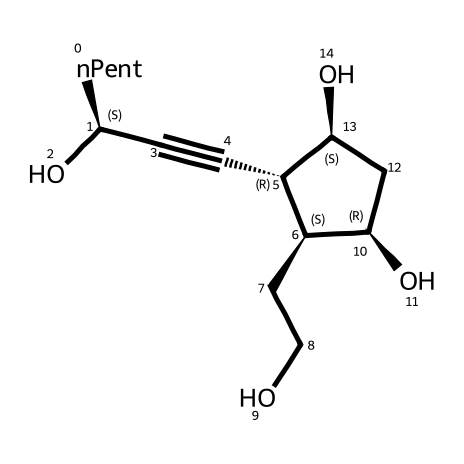 CCCCC[C@H](O)C#C[C@H]1[C@H](CCO)[C@H](O)C[C@@H]1O